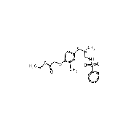 CCOC(=O)COc1ccc(S[C@H](C)CNS(=O)(=O)c2ccccc2)cc1C